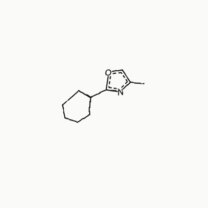 Cc1coc(C2CCCCC2)n1